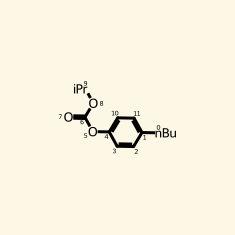 CCCCc1ccc(OC(=O)OC(C)C)cc1